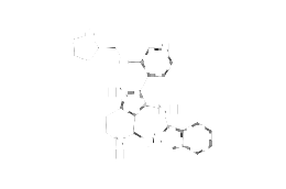 O=C1NCCc2[nH]c(-c3ccncc3OC[C@H]3CCCO3)c(Nc3nsc4ccccc34)c21